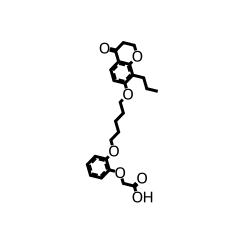 CCCc1c(OCCCCCOc2ccccc2OCC(=O)O)ccc2c1OCCC2=O